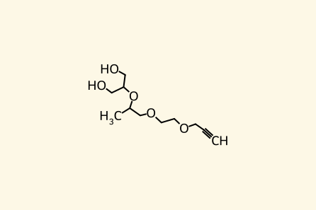 C#CCOCCOCC(C)OC(CO)CO